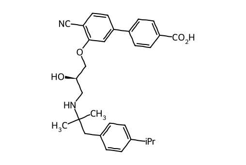 CC(C)c1ccc(CC(C)(C)NC[C@@H](O)COc2cc(-c3ccc(C(=O)O)cc3)ccc2C#N)cc1